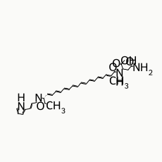 C\C(=C/C=C/C=C/C=C/C=C/C=C/C=C/C=C/[C@H]1N=C(/C=C/c2ccc[nH]2)O[C@@H]1C)C(=O)NC(CC(N)=O)C(=O)O